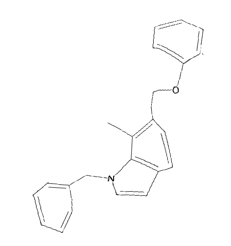 Cc1c(COc2[c]cccc2)ccc2ccn(Cc3ccccc3)c12